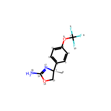 C[C@]1(c2ccc(OC(F)(F)F)cc2)COC(N)=N1